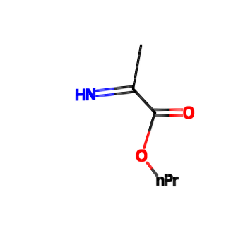 CCCOC(=O)C(C)=N